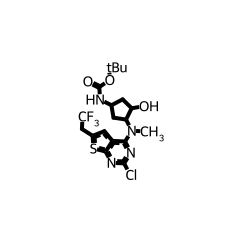 CN(c1nc(Cl)nc2sc(CC(F)(F)F)cc12)C1CC(NC(=O)OC(C)(C)C)CC1O